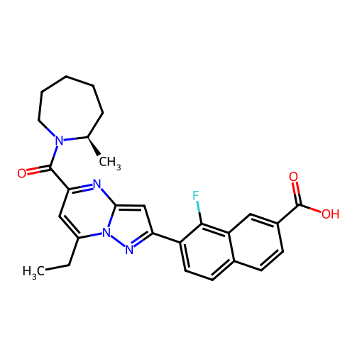 CCc1cc(C(=O)N2CCCCC[C@H]2C)nc2cc(-c3ccc4ccc(C(=O)O)cc4c3F)nn12